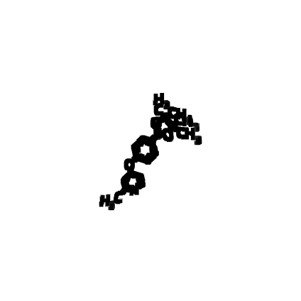 Cc1cc(Oc2ccc(B3OC(C)(C)C(C)(C)O3)cc2)ccn1